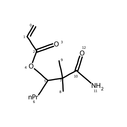 C=CC(=O)OC(CCC)C(C)(C)C(N)=O